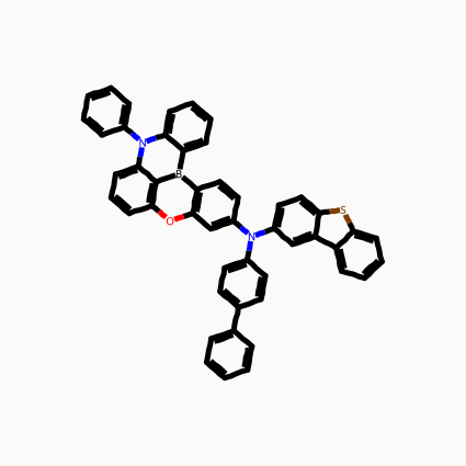 c1ccc(-c2ccc(N(c3ccc4c(c3)Oc3cccc5c3B4c3ccccc3N5c3ccccc3)c3ccc4sc5ccccc5c4c3)cc2)cc1